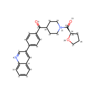 O=C(c1ccc(-c2cnc3ccccc3c2)cc1)C1CCN(C(=O)[C@H]2CCCO2)CC1